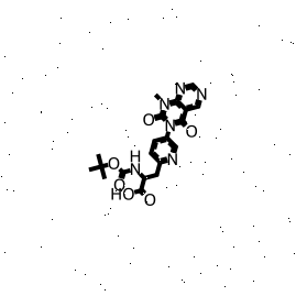 Cn1c(=O)n(-c2ccc(CC(NC(=O)OC(C)(C)C)C(=O)O)nc2)c(=O)c2cncnc21